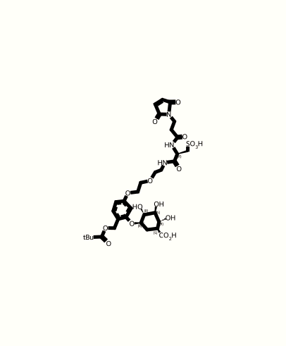 CC(C)(C)C(=O)OCc1ccc(OCCOCCNC(=O)[C@H](CS(=O)(=O)O)NC(=O)CCN2C(=O)C=CC2=O)cc1O[C@@H]1C[C@H](C(=O)O)[C@@H](O)[C@H](O)[C@H]1O